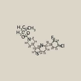 CC(C)(C)OC(=O)N1CCC(c2csc3ccc(Cc4ccc(Cl)cc4F)nc23)CC1